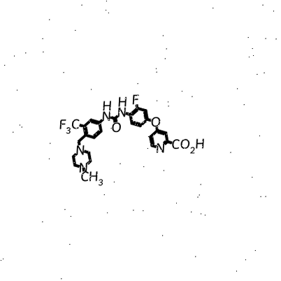 CN1CCN(Cc2ccc(NC(=O)Nc3ccc(Oc4ccnc(C(=O)O)c4)cc3F)cc2C(F)(F)F)CC1